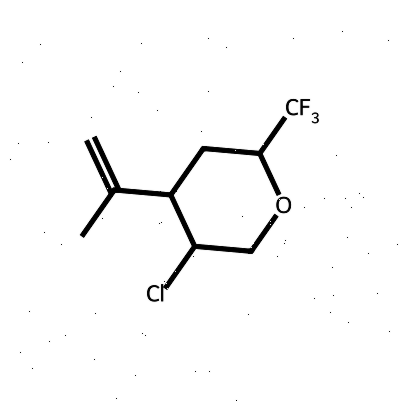 C=C(C)C1CC(C(F)(F)F)OCC1Cl